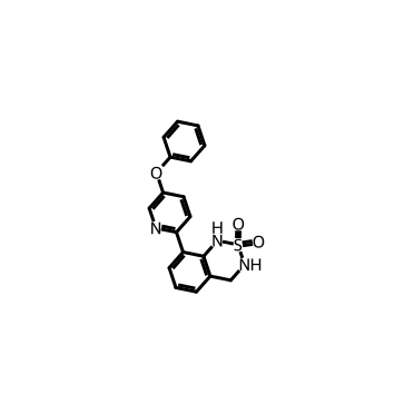 O=S1(=O)NCc2cccc(-c3ccc(Oc4ccccc4)cn3)c2N1